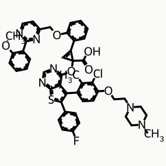 COc1ccccc1-c1nccc(COc2ccccc2C2=CC2(Oc2ncnc3sc(-c4ccc(F)cc4)c(-c4ccc(OCCN5CCN(C)CC5)c(Cl)c4C)c23)C(=O)O)n1